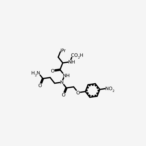 CC(C)CC(NC(=O)O)C(=O)NN(CCC(N)=O)C(=O)COc1ccc([N+](=O)[O-])cc1